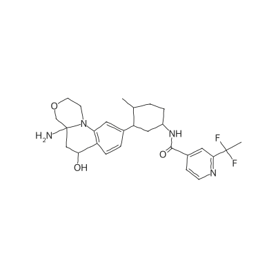 CC1CCC(NC(=O)c2ccnc(C(C)(F)F)c2)CC1c1ccc2c(c1)N1CCOCC1(N)CC2O